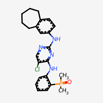 CP(C)(=O)c1ccccc1Nc1nc(Nc2ccc3c(c2)CCCCC3)ncc1Cl